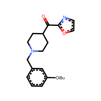 CC(C)COc1cccc(CN2CCC(C(=O)c3ncco3)CC2)c1